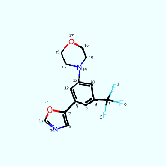 FC(F)(F)c1cc(-c2cnco2)cc(N2CCOCC2)c1